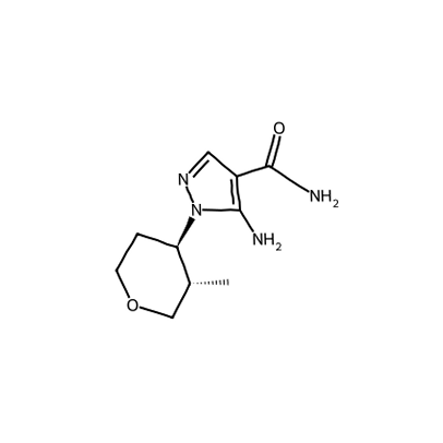 C[C@@H]1COCC[C@H]1n1ncc(C(N)=O)c1N